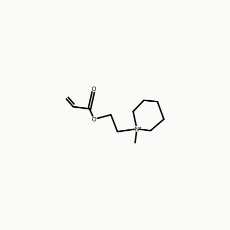 C=CC(=O)OCC[N+]1(C)CCCCC1